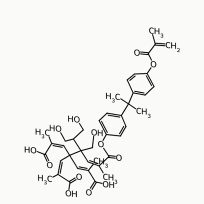 C=C(C)C(=O)Oc1ccc(C(C)(C)c2ccc(OC(=O)C(C)=CC(CO)(C(CO)CO)C(C=C(C)C(=O)O)(C=C(C)C(=O)O)C=C(C)C(=O)O)cc2)cc1